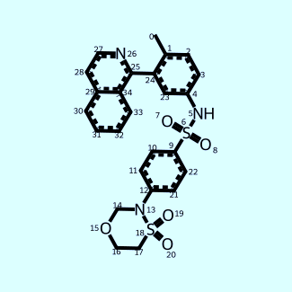 Cc1ccc(NS(=O)(=O)c2ccc(N3COCCS3(=O)=O)cc2)cc1-c1nccc2ccccc12